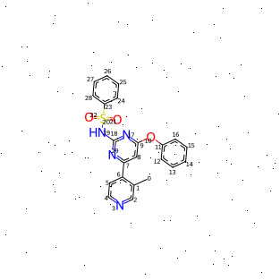 Cc1cnccc1-c1cc(Oc2ccccc2)nc(NS(=O)(=O)c2ccccc2)n1